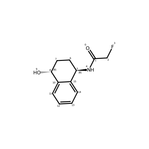 O=C(CF)N[C@@H]1CC[C@@H](O)c2ccccc21